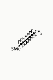 CSCC(F)(F)C(F)(F)C(F)(F)C(F)(F)C(F)(F)C(F)(F)C(F)(F)C(F)(F)F